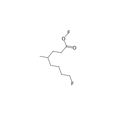 CC(CCCCF)CCC(=O)OF